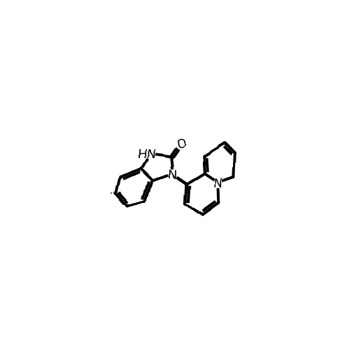 O=c1[nH]c2c[c]ccc2n1C1=CC=CN2CC=CC=C12